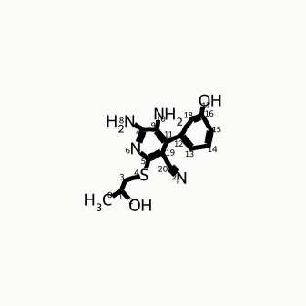 CC(O)CSc1nc(N)c(N)c(-c2cccc(O)c2)c1C#N